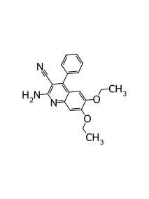 CCOc1cc2nc(N)c(C#N)c(-c3ccccc3)c2cc1OCC